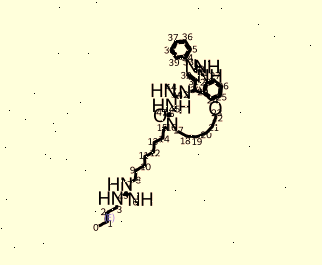 C/C=C/CNC(=N)NCCCCCCCCN1CCCCCCOc2ccccc2C(C2=CN(c3ccccc3)NN2)NC(=N)NC1=O